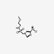 COCCNS(=O)(=O)Cn1cnc([N+](=O)[O-])c1